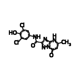 Cc1cc(=O)n2nc(C(=O)Nc3cc(Cl)c(O)c(Cl)c3)nc2[nH]1